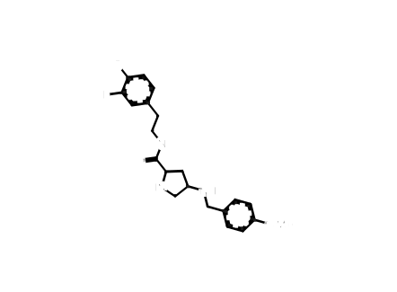 COc1ccc(CNC2CNC(C(=O)NCCc3ccc(F)c(F)c3)C2)cc1